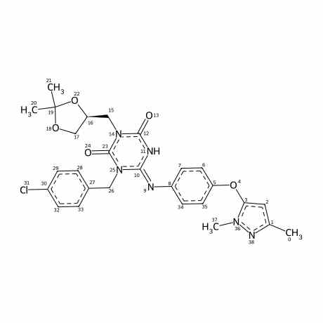 Cc1cc(Oc2ccc(/N=c3\[nH]c(=O)n(C[C@H]4COC(C)(C)O4)c(=O)n3Cc3ccc(Cl)cc3)cc2)n(C)n1